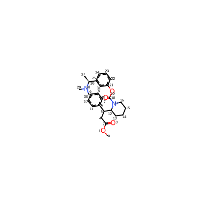 COC(=O)CC(c1ccccc1)C1CCCCN1C(=O)Oc1cccc([C@H](C)N(C)C)c1